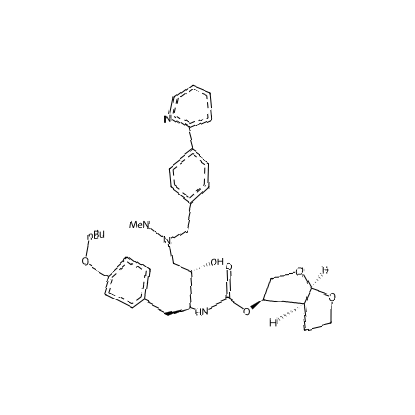 CCCCOc1ccc(C[C@H](NC(=O)O[C@H]2CO[C@H]3OCC[C@H]32)[C@@H](O)CN(Cc2ccc(-c3ccccn3)cc2)NC)cc1